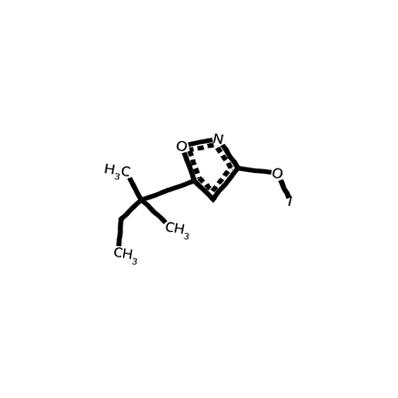 CCC(C)(C)c1cc(OI)no1